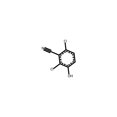 N#Cc1c(Cl)ccc(O)c1Cl